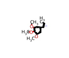 C/C=C\c1cc(OC)c(OC)c(OC)c1